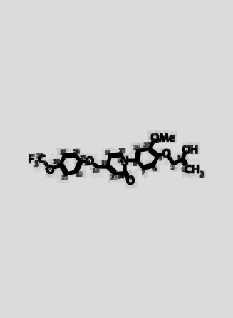 C=C(O)COc1ccc(-n2ccc(COc3ccc(OC(F)(F)F)cc3)cc2=O)cc1OC